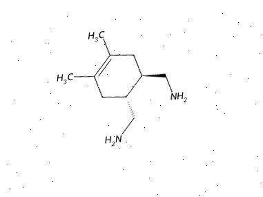 CC1=C(C)C[C@@H](CN)[C@H](CN)C1